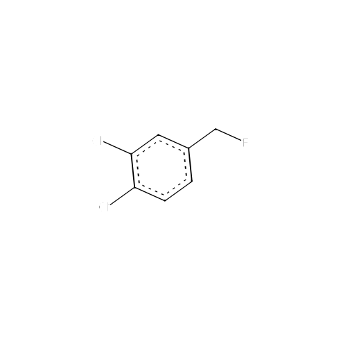 FCc1ccc(Cl)c(Cl)c1